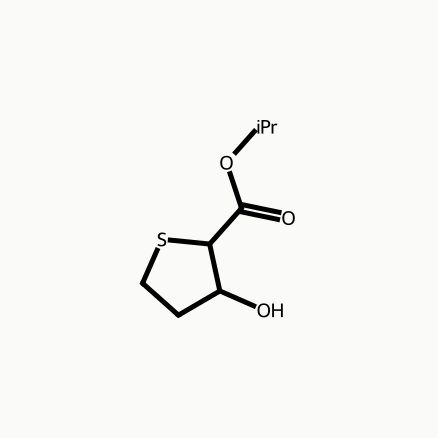 CC(C)OC(=O)C1SCCC1O